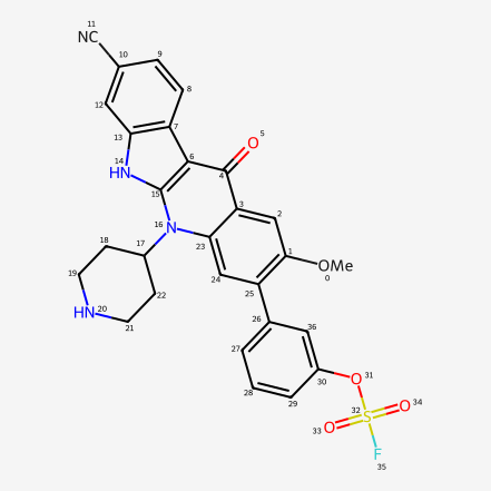 COc1cc2c(=O)c3c4ccc(C#N)cc4[nH]c3n(C3CCNCC3)c2cc1-c1cccc(OS(=O)(=O)F)c1